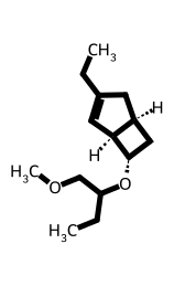 CCC1=C[C@H]2[C@@H](C1)C[C@@H]2OC(CC)COC